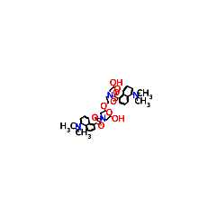 CN(C)c1cccc2c(S(=O)(=O)N(CCOCCN(CC(=O)O)S(=O)(=O)c3cccc4c(N(C)C)cccc34)CC(=O)O)cccc12